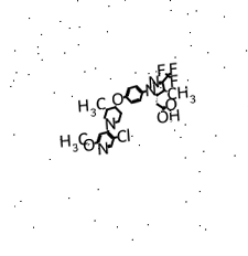 COc1cc(N2CC[C@@H](Oc3ccc(N4N=C(C(F)(F)F)[C@@H](C)[C@@H]4CC(=O)O)cc3)[C@H](C)C2)c(Cl)cn1